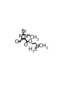 CCn1c(Br)nc(C=O)c1C(=O)OCCN(C)C